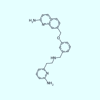 Nc1cccc(CCNCc2cccc(OCc3ccc4ccc(N)nc4c3)c2)n1